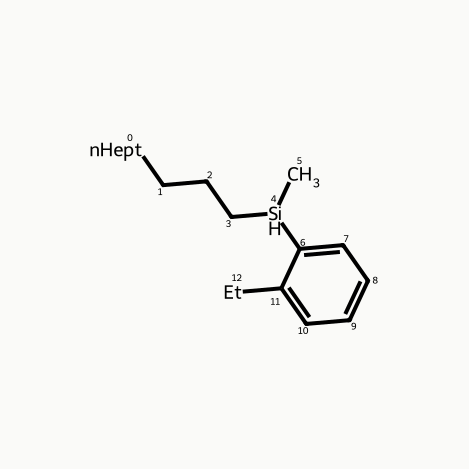 CCCCCCCCCC[SiH](C)c1ccccc1CC